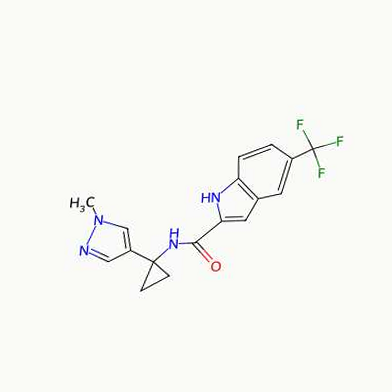 Cn1cc(C2(NC(=O)c3cc4cc(C(F)(F)F)ccc4[nH]3)CC2)cn1